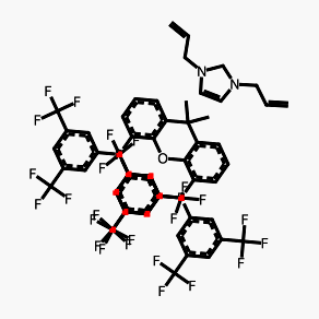 C=CCN1C=CN(CC=C)C1.CC1(C)c2cccc(P(c3cc(C(F)(F)F)cc(C(F)(F)F)c3)c3cc(C(F)(F)F)cc(C(F)(F)F)c3)c2Oc2c(P(c3cc(C(F)(F)F)cc(C(F)(F)F)c3)c3cc(C(F)(F)F)cc(C(F)(F)F)c3)cccc21